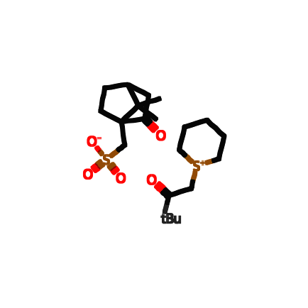 CC(C)(C)C(=O)C[S+]1CCCCC1.CC1(C)C2CCC1(CS(=O)(=O)[O-])C(=O)C2